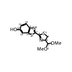 COC(OC)C1CSC(c2nc3ccc(O)cc3s2)=N1